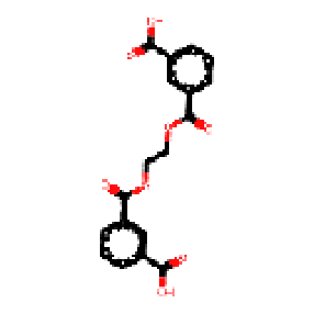 O=C(O)c1cccc(C(=O)OCCOC(=O)c2cccc(C(=O)O)c2)c1